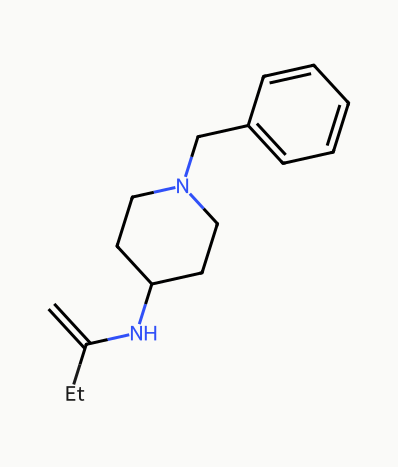 C=C(CC)NC1CCN(Cc2ccccc2)CC1